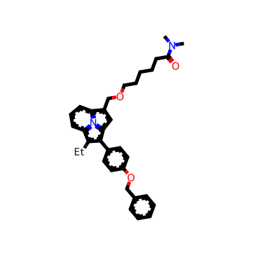 CCc1c(-c2ccc(OCc3ccccc3)cc2)c2cc(COCCCCCC(=O)N(C)C)c3cccc1n32